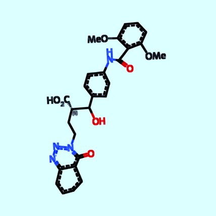 COc1cccc(OC)c1C(=O)Nc1ccc(C(O)[C@H](CCn2nnc3ccccc3c2=O)C(=O)O)cc1